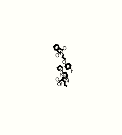 CCc1nn2ccc(N3CCC[C@@H]3c3cc(F)ccc3OCCCN3C(=O)c4ccccc4C3=O)nc2c1C(=O)O